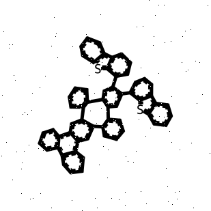 c1ccc2c(c1)-c1cc(-c3cccc4c3sc3ccccc34)c(-c3cccc4c3sc3ccccc34)cc1-c1ccccc1-c1cc3c4ccccc4c4ccccc4c3cc1-2